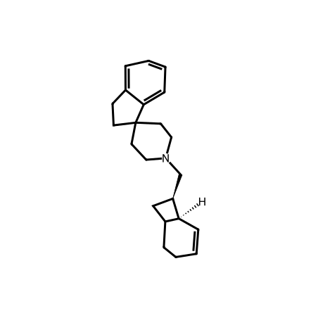 C1=C[C@H]2C(CC1)C[C@H]2CN1CCC2(CCc3ccccc32)CC1